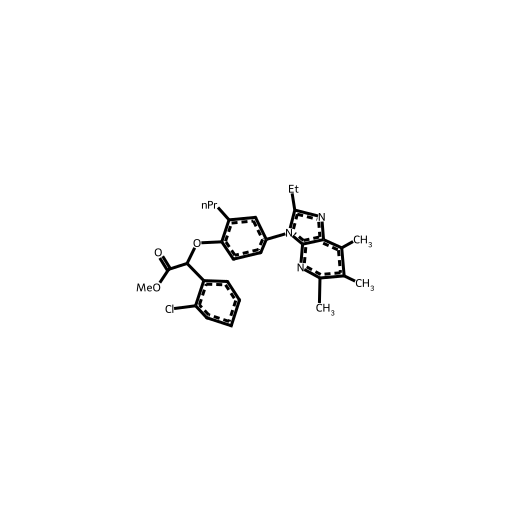 CCCc1cc(-n2c(CC)nc3c(C)c(C)c(C)nc32)ccc1OC(C(=O)OC)c1ccccc1Cl